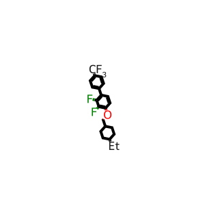 CCC1CCC(COc2ccc(-c3ccc(C(F)(F)F)cc3)c(F)c2F)CC1